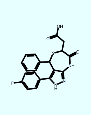 O=C(O)CC1SC(c2ccccc2)c2c(n[nH]c2-c2ccc(F)cc2)NC1=O